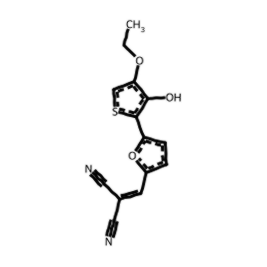 CCOc1csc(-c2ccc(C=C(C#N)C#N)o2)c1O